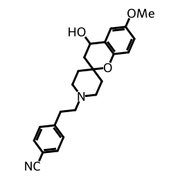 COc1ccc2c(c1)C(O)CC1(CCN(CCc3ccc(C#N)cc3)CC1)O2